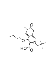 CCCCOC1=C(C(=O)O)N(CC(C)(C)C)C=C2CC(=O)C(C)C=C21